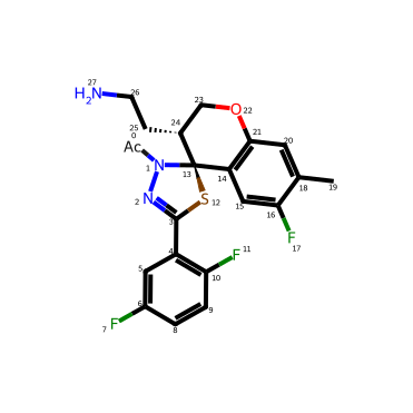 CC(=O)N1N=C(c2cc(F)ccc2F)S[C@@]12c1cc(F)c(C)cc1OC[C@H]2CCN